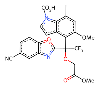 COC(=O)COC(c1nc2cc(C#N)ccc2o1)(c1c(OC)cc(C)c2c1ccn2C(=O)O)C(F)(F)F